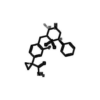 C[C@@H]1NC[C@@H](c2ccccc2)S(=O)(=O)C1Cc1ccc(C2(C(N)=O)CC2)cc1F